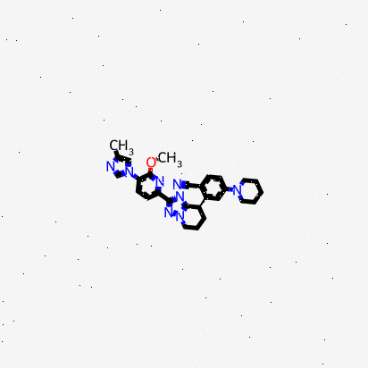 COc1nc(-c2nc3n(n2)CCC[C@@H]3c2cc(N3CCCCC3)ccc2C#N)ccc1-n1cnc(C)c1